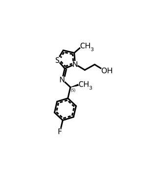 Cc1csc(=N[C@@H](C)c2ccc(F)cc2)n1CCO